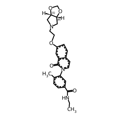 CCNC(=O)c1ccc(C)c(-n2ccc3ccc(OCCN4C[C@@H]5OCO[C@@H]5C4)cc3c2=O)c1